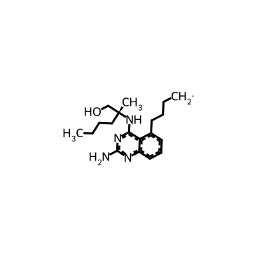 [CH2]CCCc1cccc2nc(N)nc(N[C@@](C)(CO)CCCC)c12